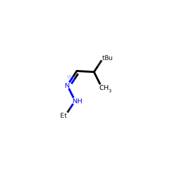 CCN/N=C\C(C)C(C)(C)C